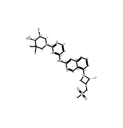 C[C@@H]1[C@@H](CS(C)(=O)=O)CN1c1cccc2cc(Nc3ccnc(N4C[C@H](F)[C@H](O)C(C)(C)C4)n3)ncc12